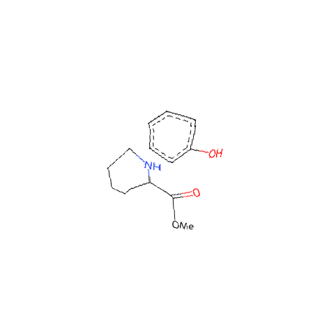 COC(=O)C1CCCCN1.Oc1ccccc1